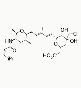 CC(/C=C/[C@H]1OC(CC(=O)O)CC(O)(CCl)C1O)=C\C[C@@H]1O[C@H](C)[C@H](NC(=O)/C=C\C(C)C)C[C@@H]1C